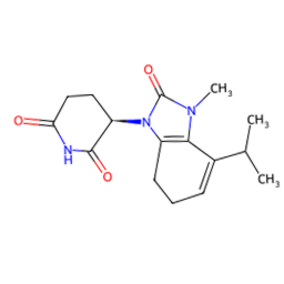 CC(C)C1=CCCc2c1n(C)c(=O)n2[C@@H]1CCC(=O)NC1=O